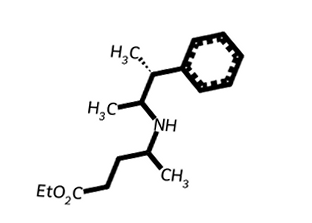 CCOC(=O)CCC(C)NC(C)[C@H](C)c1ccccc1